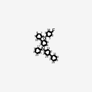 Fc1ccc(-n2c3ccccc3c3cc(N(c4ccccc4)c4ccc(-c5ccccc5)cc4)ccc32)cc1